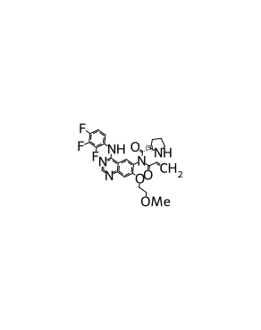 C=CC(=O)N(C(=O)[C@@H]1CCCN1)c1cc2c(Nc3ccc(F)c(F)c3F)ncnc2cc1OCCOC